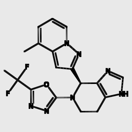 Cc1cccn2nc([C@H]3c4nc[nH]c4CCN3c3nnc(C(C)(F)F)o3)cc12